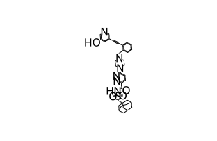 O=C(NS(=O)(=O)CC12CC3CC(CC(C3)C1)C2)c1ccc(N2CCN(Cc3ccccc3C#Cc3cncc(O)c3)CC2)nn1